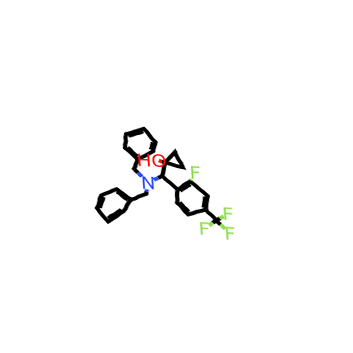 OC1(C(c2ccc(C(F)(F)F)cc2F)N(Cc2ccccc2)Cc2ccccc2)CC1